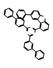 c1ccc(-c2ccc(-c3nc(-c4cccc(-c5ccccc5)c4)nc(-c4cccc5sc6ccc(-c7ccccc7)cc6c45)n3)cc2)cc1